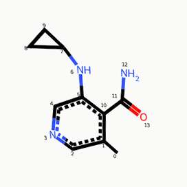 Cc1cncc(NC2CC2)c1C(N)=O